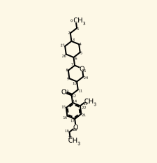 CCCC1CCC(C2CCC(CC(=O)c3ccc(OCC)cc3C)CO2)CC1